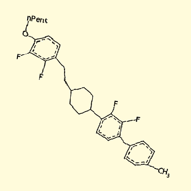 CCCCCOc1ccc(CCC2CCC(c3ccc(-c4ccc(C)cc4)c(F)c3F)CC2)c(F)c1F